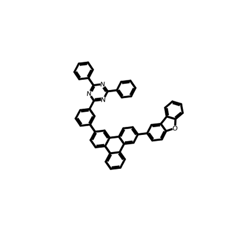 c1ccc(-c2nc(-c3ccccc3)nc(-c3cccc(-c4ccc5c6ccccc6c6cc(-c7ccc8oc9ccccc9c8c7)ccc6c5c4)c3)n2)cc1